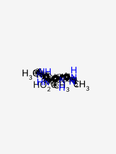 CC(=O)O.CC1CNC(c2ccc3cc(-c4ccc(-c5c[nH]c6cc(C7=NC(C)CN7)ccc56)cc4)[nH]c3c2)=N1